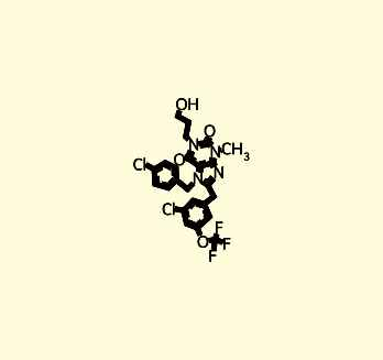 Cn1c(=O)n(CCCO)c(=O)c2c1nc(Cc1cc(Cl)cc(OC(F)(F)F)c1)n2Cc1ccc(Cl)cc1